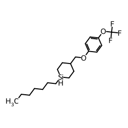 CCCCCCC[SiH]1CCC(COc2ccc(OC(F)(F)F)cc2)CC1